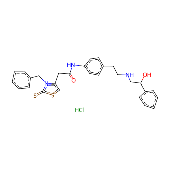 Cl.O=C(Cc1csc(=S)n1Cc1ccccc1)Nc1ccc(CCNCC(O)c2ccccc2)cc1